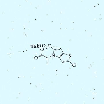 C=C(C(=O)OC(C)(C)C)n1c(C(=O)OCC)cc2sc(Cl)cc21